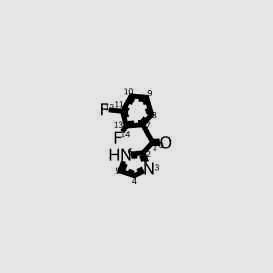 O=C(c1ncc[nH]1)c1cccc(F)c1F